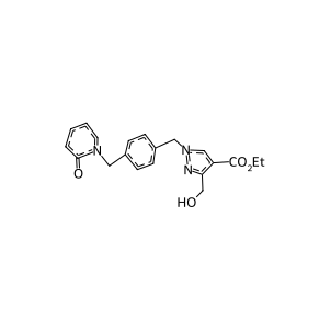 CCOC(=O)c1cn(Cc2ccc(Cn3ccccc3=O)cc2)nc1CO